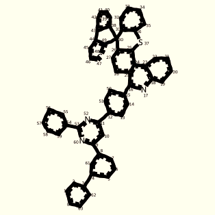 c1ccc(-c2cccc(-c3cc(-c4ccc(-c5nc6ccccc6c6c7c(ccc56)C5(c6ccccc6S7)c6ccccc6-c6ccccc65)cc4)nc(-c4ccccc4)n3)c2)cc1